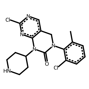 Cc1cccc(Cl)c1N1Cc2cnc(Cl)nc2N(C2CCNCC2)C1=O